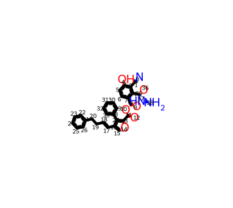 N#Cc1c(O)ccc(C(=O)OC(=O)c2occ(C=CCCc3ccccc3)c2-c2ccccc2)c1C(=O)NN